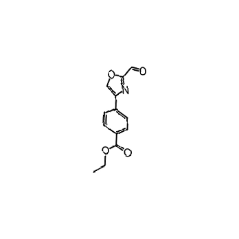 CCOC(=O)c1ccc(-c2coc(C=O)n2)cc1